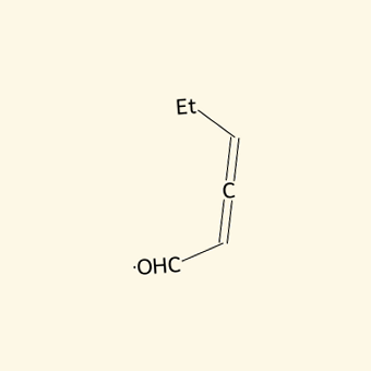 CCC=C=C[C]=O